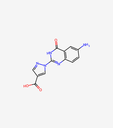 Nc1ccc2nc(-n3cc(C(=O)O)cn3)[nH]c(=O)c2c1